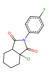 O=C1C2CCCCC2(Cl)C(=O)N1c1ccc(F)cc1